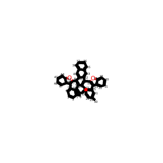 Cc1cccc(C2=C(c3c4ccccc4c(-c4oc5ccccc5c4-c4cccc(C)c4)c4cc5ccccc5cc34)OC3C=CC=CC23)c1